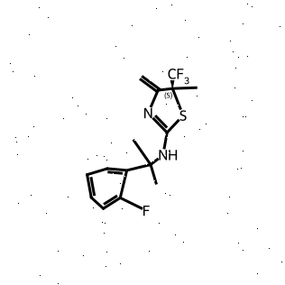 C=C1N=C(NC(C)(C)c2ccccc2F)S[C@]1(C)C(F)(F)F